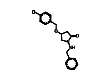 O=C1CC(OCc2ccc(Cl)cc2)CN1NCc1ccccc1